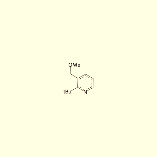 COCc1cccnc1C(C)(C)C